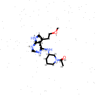 COCCc1c[nH]c2ncnc(N[C@@H]3CCCN(C(C)=O)C3)c12